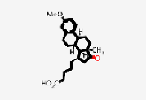 COc1ccc2c(c1)CC[C@H]1[C@@H]3[C@H](CCCCC(=O)O)CC(=O)[C@@]3(C)CC[C@H]21